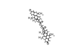 C[C@@H]1CC2=CC(=O)CCC2C2C1C1CC[C@H](OC(=O)OCOC(=O)O[C@H]3CCC4C5C(C6CCC(=O)C=C6C[C@H]5C)[C@@H](C)C[C@@]43C)[C@@]1(C)C[C@@H]2C